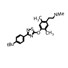 CNCCc1cc(C)c(Oc2nc(-c3ccc(C(C)(C)C)cc3)ns2)cc1C